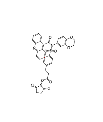 O=C(CCc1ccc(S(=O)(=O)N(C(=O)c2c3ccccc3nc3ccccc23)c2ccc3c(c2)OCCO3)cc1)ON1C(=O)CCC1=O